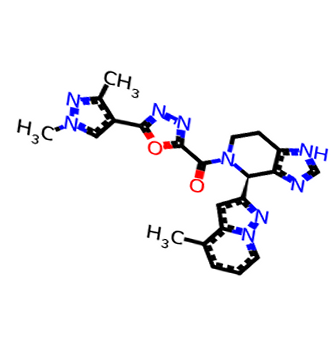 Cc1nn(C)cc1-c1nnc(C(=O)N2CCc3[nH]cnc3[C@H]2c2cc3c(C)cccn3n2)o1